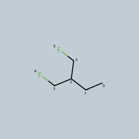 C[CH]C(CF)CF